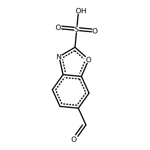 O=Cc1ccc2nc(S(=O)(=O)O)oc2c1